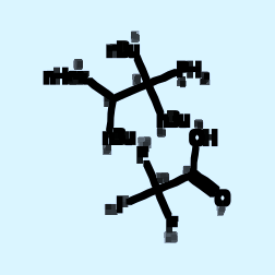 CCCCCCC(CCCC)C(P)(CCCC)CCCC.O=C(O)C(F)(F)F